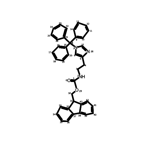 O=C(NCCc1cn(C(c2ccccc2)(c2ccccc2)c2ccccc2)cn1)OCC1c2ccccc2-c2ccccc21